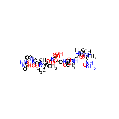 Cc1c(-c2ccc(N3CCc4cccc(C(=O)Nc5nc6ccccc6s5)c4C3)nc2C(=O)O)cnn1CC12CC3(C)CC(C)(C1)CC(OCCN(CCS(=O)(=O)O)C(=O)OCc1ccc(NC(=O)C(C)(C)OC(=O)NCCCCCC(=O)N[C@H](C(=O)N[C@@H](C)CCCNC(N)=O)C(C)C)cc1)(C3)C2